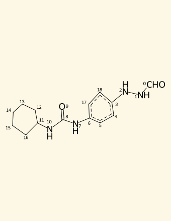 O=CNNc1ccc(NC(=O)NC2CCCCC2)cc1